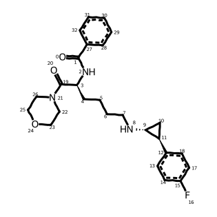 O=C(N[C@@H](CCCCN[C@@H]1C[C@H]1c1ccc(F)cc1)C(=O)N1CCOCC1)c1ccccc1